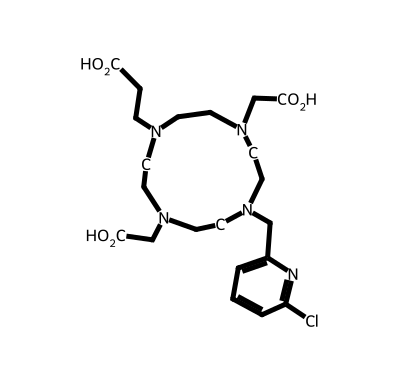 O=C(O)CCN1CCN(CC(=O)O)CCN(Cc2cccc(Cl)n2)CCN(CC(=O)O)CC1